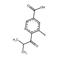 CC(C)C(=O)c1ncc(C(=O)O)cc1F